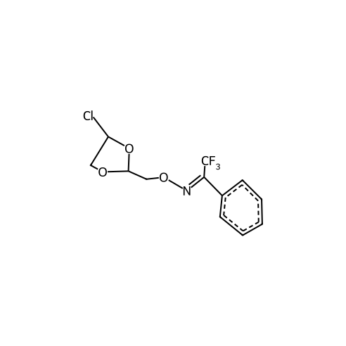 FC(F)(F)C(=NOCC1OCC(Cl)O1)c1ccccc1